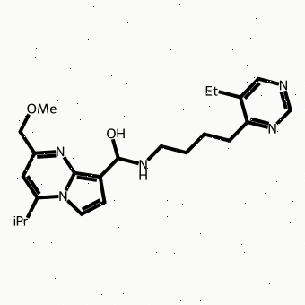 CCc1cncnc1CCCCNC(O)c1ccn2c(C(C)C)cc(COC)nc12